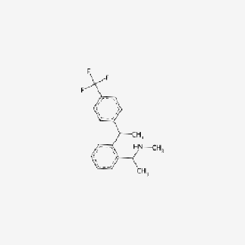 CNC(C)c1ccccc1C(C)c1ccc(C(F)(F)F)cc1